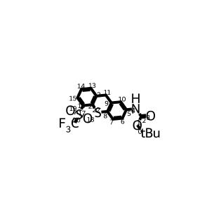 CC(C)(C)OC(=O)Nc1ccc2c(c1)Cc1cccc(S(=O)(=O)C(F)(F)F)c1S2